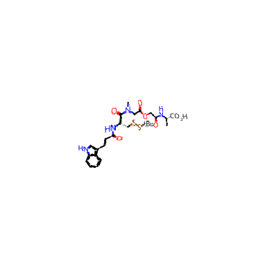 C[C@H](NC(=O)COC(=O)CN(C)C(=O)[C@H](CSSC(C)(C)C)NC(=O)CCc1c[nH]c2ccccc12)C(=O)O